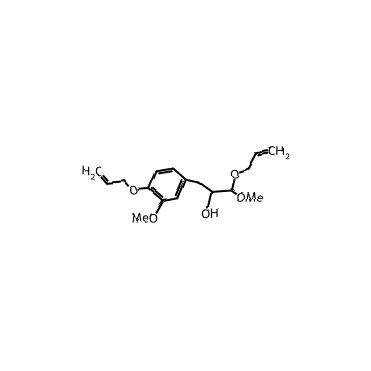 C=CCOc1ccc(CC(O)C(OC)OCC=C)cc1OC